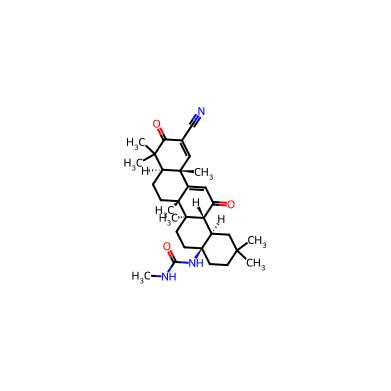 CNC(=O)N[C@]12CCC(C)(C)C[C@@H]1[C@H]1C(=O)C=C3[C@@]4(C)C=C(C#N)C(=O)C(C)(C)[C@@H]4CC[C@@]3(C)[C@]1(C)CC2